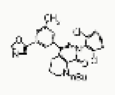 CCCCN1CCCc2c(-c3cc(C)cc(-c4cnco4)c3)nn(-c3c(Cl)cccc3Cl)c(=O)c21